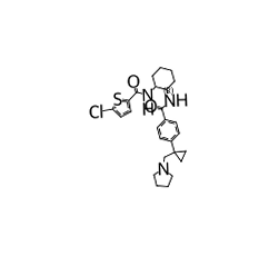 O=C(N[C@@H]1CCCCC1NC(=O)c1ccc(Cl)s1)c1ccc(C2(CN3CCCC3)CC2)cc1